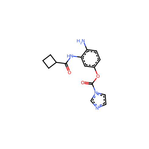 Nc1ccc(OC(=O)n2ccnc2)cc1NC(=O)C1CCC1